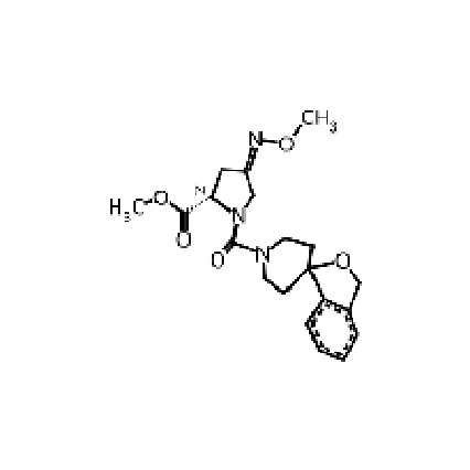 CON=C1C[C@@H](C(=O)OC)N(C(=O)N2CCC3(CC2)OCc2ccccc23)C1